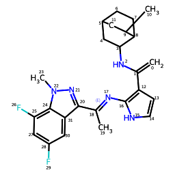 C=C(NC1CC2CCC1C(C)C2)c1cc[nH]c1/N=C(\C)c1nn(C)c2c(F)cc(F)cc12